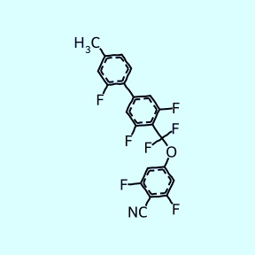 Cc1ccc(-c2cc(F)c(C(F)(F)Oc3cc(F)c(C#N)c(F)c3)c(F)c2)c(F)c1